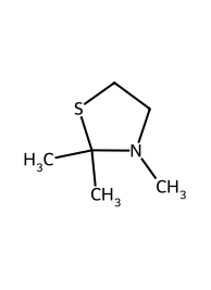 CN1CCSC1(C)C